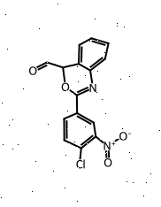 O=CC1OC(c2ccc(Cl)c([N+](=O)[O-])c2)=Nc2ccccc21